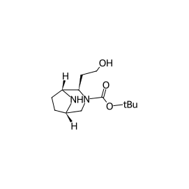 CC(C)(C)OC(=O)N1C[C@@H]2CC[C@@H](N2)[C@H]1CCO